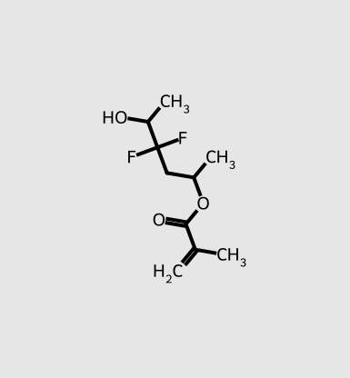 C=C(C)C(=O)OC(C)CC(F)(F)C(C)O